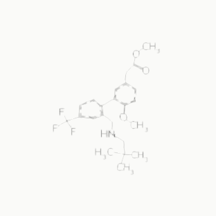 COC(=O)Cc1ccc(OC)c(-c2ccc(C(F)(F)F)cc2CNCC(C)(C)C)c1